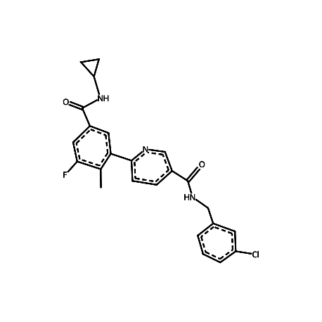 Cc1c(F)cc(C(=O)NC2CC2)cc1-c1ccc(C(=O)NCc2cccc(Cl)c2)cn1